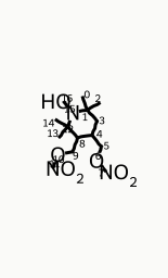 CC1(C)CC(CO[N+](=O)[O-])C(CO[N+](=O)[O-])C(C)(C)N1O